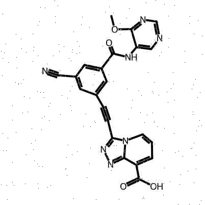 COc1ncncc1NC(=O)c1cc(C#N)cc(C#Cc2nnc3c(C(=O)O)cccn23)c1